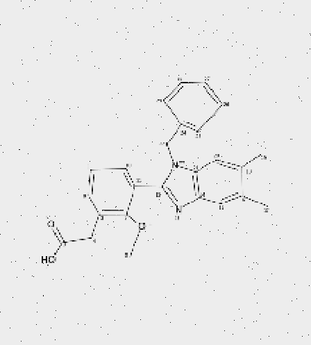 COc1c(CC(=O)O)cccc1-c1nc2cc(C)c(C)cc2n1Cc1ccccc1